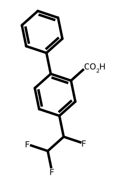 O=C(O)c1cc(C(F)C(F)F)ccc1-c1ccccc1